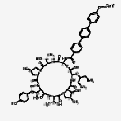 CCCCCOc1ccc(-c2ccc(-c3ccc(C(=O)N[C@H]4C[C@@H](O)C(OC(CN)CN)NC(=O)C5[C@@H](O)[C@@H](C)CN5C(=O)C([C@@H](C)O)NC(=O)C([C@H](O)[C@@H](O)c5ccc(O)cc5)NC(=O)C5C[C@@H](O)CN5C(=O)C([C@@H](C)O)NC4=O)cc3)cc2)cc1